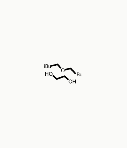 CCC(C)COCC(C)CC.OCCO